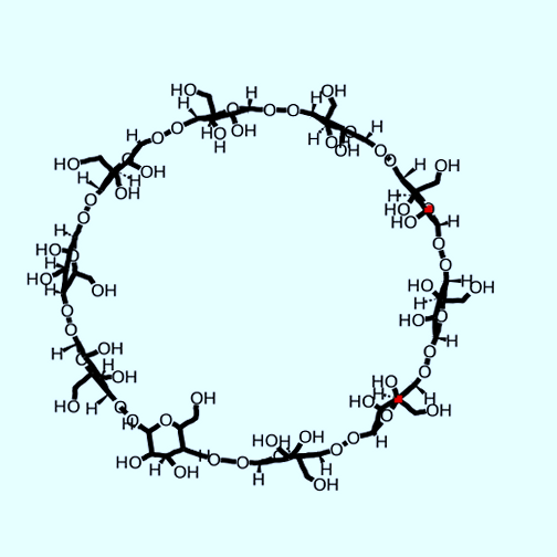 OCC1O[C@@H]2OO[C@@H]3C(CO)O[C@H](OO[C@@H]4C(CO)O[C@H](OO[C@@H]5C(CO)O[C@H](OO[C@@H]6C(CO)O[C@H](OO[C@@H]7C(CO)O[C@H](OO[C@@H]8C(CO)O[C@H](OO[C@@H]9C(CO)O[C@H](OO[C@@H]%10C(CO)O[C@H](OO[C@@H]%11C(CO)O[C@H](OO[C@H]1[C@H](O)C2O)C(O)[C@H]%11O)C(O)[C@H]%10O)C(O)[C@H]9O)C(O)[C@H]8O)C(O)[C@H]7O)C(O)[C@H]6O)C(O)[C@H]5O)C(O)[C@H]4O)C(O)[C@H]3O